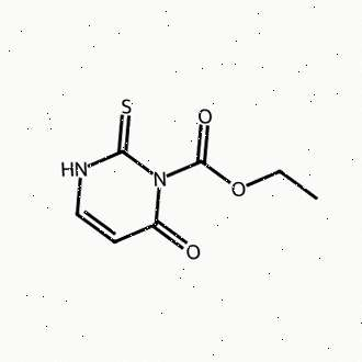 CCOC(=O)n1c(=O)cc[nH]c1=S